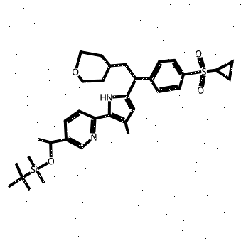 Cc1cc(C(CC2CCOCC2)c2ccc(S(=O)(=O)C3CC3)cc2)[nH]c1-c1ccc(C(C)O[Si](C)(C)C(C)(C)C)cn1